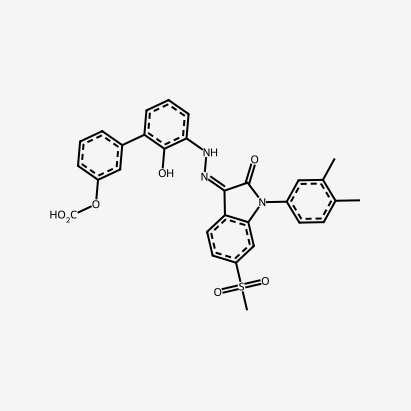 Cc1ccc(N2C(=O)C(=NNc3cccc(-c4cccc(OC(=O)O)c4)c3O)c3ccc(S(C)(=O)=O)cc32)cc1C